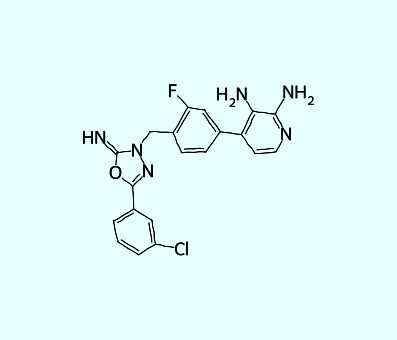 N=c1oc(-c2cccc(Cl)c2)nn1Cc1ccc(-c2ccnc(N)c2N)cc1F